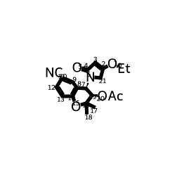 CCOC1=CC(=O)N([C@H]2c3cc(C#N)ccc3OC(C)(C)[C@@H]2OC(C)=O)C1